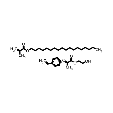 C=C(C)C(=O)OCCCCCCCCCCCCCCCCCC.C=C(C)C(=O)OCCO.C=Cc1ccccc1